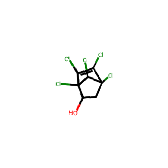 OC1CC2(Cl)C(Cl)=C(Cl)C1(Cl)C2Cl